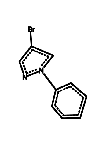 Brc1cnn(-c2ccccc2)c1